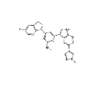 Cn1cc(-c2cnc3[nH]cc(-c4cc(N5CCc6cc(F)ccc65)nc(N)n4)c3c2)cn1